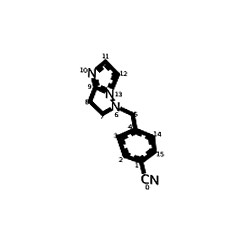 N#Cc1ccc(CN2CCc3nccn32)cc1